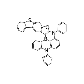 C1=CCC2B3c4c(cccc4N(c4ccccc4)c4oc5cc6sc7ccccc7c6cc5c43)N(c3ccccc3)C2=C1